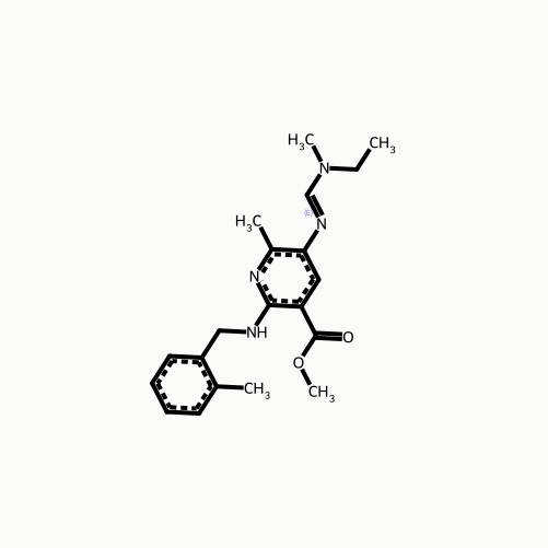 CCN(C)/C=N/c1cc(C(=O)OC)c(NCc2ccccc2C)nc1C